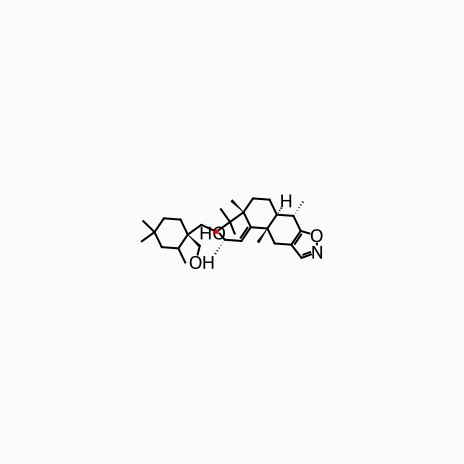 CC1CC(C)(C)CC[C@]1(CO)CCC(C)(C)[C@]1(C)CC[C@H]2[C@H](C)c3oncc3C[C@]2(C)/C1=C/[C@H](C)O